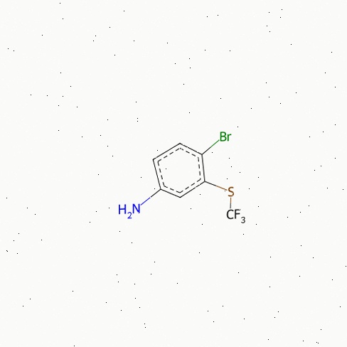 Nc1ccc(Br)c(SC(F)(F)F)c1